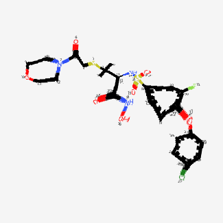 CC(C)(SCC(=O)N1CCOCC1)[C@@H](NS(=O)(=O)c1ccc(Oc2ccc(Cl)cc2)c(F)c1)C(=O)NO